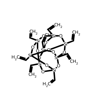 C=C[Si]12O[Si]3(C=C)O[Si]4(C=C)O[Si](C=C)(O1)O[Si]1(C=C)O[Si](C=C)(O2)O[Si](C=C)(O3)O[Si](C=C)(O4)O1